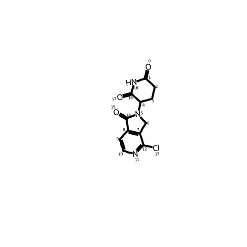 O=C1CCC(N2Cc3c(ccnc3Cl)C2=O)C(=O)N1